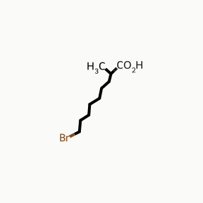 CC(CCCCCCCBr)C(=O)O